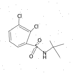 CC(C)(C)NS(=O)(=O)c1cccc(Cl)c1Cl